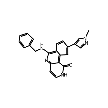 Cn1cc(-c2ccc3c(NCc4ccccc4)nc4cc[nH]c(=O)c4c3c2)cn1